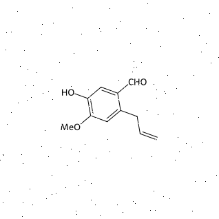 C=CCc1cc(OC)c(O)cc1C=O